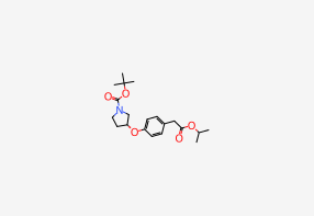 CC(C)OC(=O)Cc1ccc(O[C@H]2CCN(C(=O)OC(C)(C)C)C2)cc1